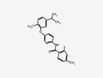 Cc1ccc(C(=O)Nc2ccc(Oc3cc(C(C)C)ccc3C)cn2)c(F)c1